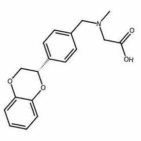 CN(CC(=O)O)Cc1ccc([C@H]2COc3ccccc3O2)cc1